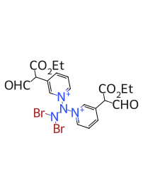 CCOC(=O)C(C=O)c1ccc[n+](N(N(Br)Br)[n+]2cccc(C(C=O)C(=O)OCC)c2)c1